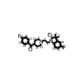 CC1(C)C(=O)N(CCN2CCC(C(=O)c3ccc(F)cc3)CC2)c2ccc(F)cc21